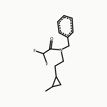 CC1CC1CCN(Cc1ccccc1)C(=O)C(F)F